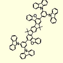 CC1(C)c2cc3c(cc2-c2c1cc(-c1cc(-n4c5ccccc5c5ccccc54)cc(-n4c5ccccc5c5ccccc54)c1)c1oc4ccccc4c21)C(C)(C)c1cc(-c2cc(-n4c5ccccc5c5ccccc54)cc(-n4c5ccccc5c5ccccc54)c2)c2oc4ccccc4c2c1-3